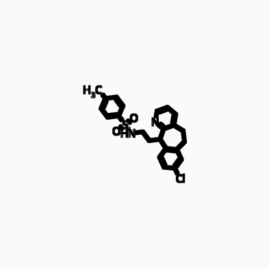 Cc1ccc(S(=O)(=O)NCCC2c3ccc(Cl)cc3CCc3cccnc32)cc1